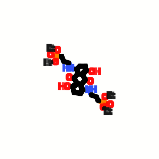 CCOP(=O)(CCCNc1ccc(O)c2c1C(=O)c1c(O)ccc(NCCCP(=O)(OCC)OCC)c1C2=O)OCC